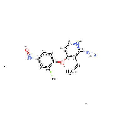 C=Cc1c(Oc2ccc(N=O)cc2F)ccnc1N